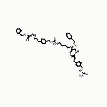 N=C(N)NCc1ccc(CCC(=O)N[C@@H](COCc2ccccc2)C(=O)NCCCCNC(=O)OCc2ccc(CCCNC(=O)OCc3ccccc3)cc2)cc1